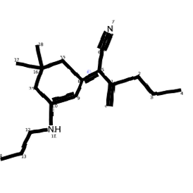 C=C(CCC)/C(C#N)=C1\C=C(NCCC)CC(C)(C)C1